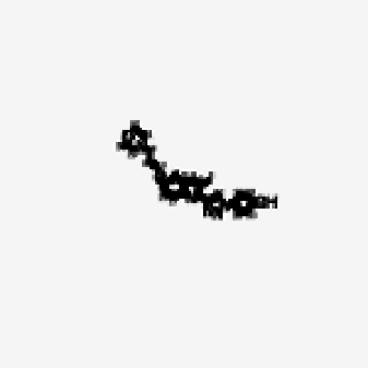 Cc1cc2cc(OCCCN3CCOCC3)ccc2nc1-c1cn(-c2ccc(O)cc2)nn1